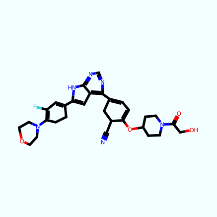 N#CC1CC(c2ncnc3[nH]c(C4=CC(F)=C(N5CCOCC5)CC4)cc23)=CC=C1OC1CCN(C(=O)CO)CC1